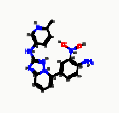 Cc1ccc(Nc2nc3cccc(-c4ccc(N)c([N+](=O)[O-])c4)n3n2)cn1